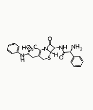 N[C@H](C(=O)N[C@@H]1C(=O)N2C(C(=O)O)=C(CC(=O)Nc3ccccc3)CS[C@@H]12)c1ccccc1